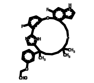 CC1(C)CCCC(C)(c2cccc(OCC=O)c2)c2cnc([nH]2)-c2cc(ccc2F)Oc2c(F)cc3[nH]ccc3c2CCSC1